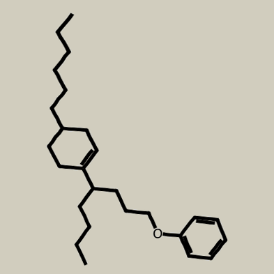 CCCCCCC1CC=C(C(CCCC)CCCOc2ccccc2)CC1